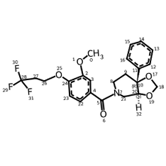 COc1cc(C(=O)N2CC[C@]3(c4ccccc4)OCO[C@H]3C2)ccc1OCCC(F)(F)F